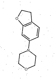 c1cc2c(cc1N1CCOCC1)OCC2